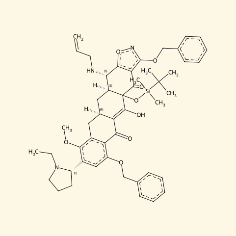 C=CCN[C@@H]1c2onc(OCc3ccccc3)c2C(=O)C2(O[Si](C)(C)C(C)(C)C)C(O)=C3C(=O)c4c(OCc5ccccc5)cc([C@@H]5CCCN5CC)c(OC)c4C[C@H]3C[C@@H]12